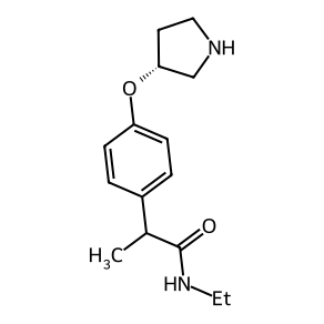 CCNC(=O)C(C)c1ccc(O[C@@H]2CCNC2)cc1